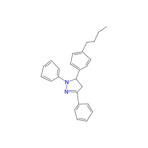 CCCCc1ccc(C2CC(c3ccccc3)=NN2c2ccccc2)cc1